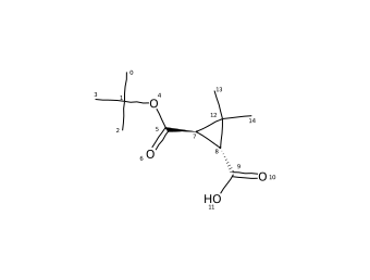 CC(C)(C)OC(=O)[C@@H]1[C@@H](C(=O)O)C1(C)C